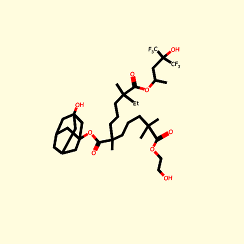 CCC(C)(CCCC(C)(CCCC(C)(C)C(=O)OCCO)C(=O)OC12CC3CC(CC(O)(C3)C1)C2)C(=O)OC(C)CC(O)(C(F)(F)F)C(F)(F)F